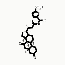 CCC(NC(=O)C[C@@H](C)[C@H]1CC[C@H]2[C@@H]3C(=O)C[C@@H]4CC(=O)CC[C@]4(C)[C@H]3CC[C@]12C)c1ccc(S(=O)(=O)O)s1